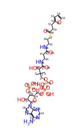 CC(C)(COP(=O)(O)OP(=O)(O)OC[C@H]1O[C@@H](n2cnc3c(N)ncnc32)[C@H](O)[C@@H]1OP(=O)(O)O)[C@@H](O)C(=O)NCCC(=O)NCCSC(=O)CCc1ccco1